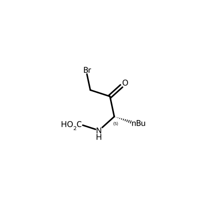 CCCC[C@H](NC(=O)O)C(=O)CBr